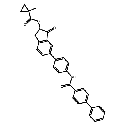 CC1(C(=O)ON2Cc3ccc(-c4ccc(NC(=O)c5ccc(-c6ccccc6)cc5)cc4)cc3C2=O)CC1